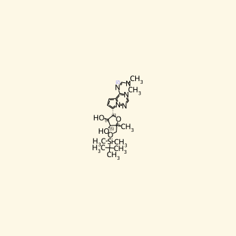 CN(C)/C=N\c1ncnn2c([C@@H]3O[C@](C)(CO[Si](C)(C)C(C)(C)C)[C@@H](O)[C@H]3O)ccc12